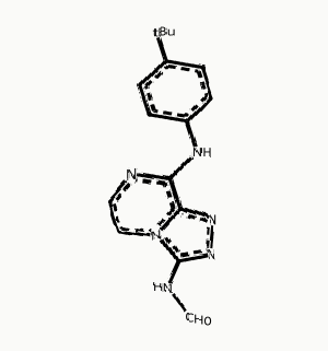 CC(C)(C)c1ccc(Nc2nccn3c(NC=O)nnc23)cc1